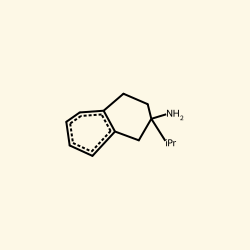 CC(C)C1(N)CCc2ccccc2C1